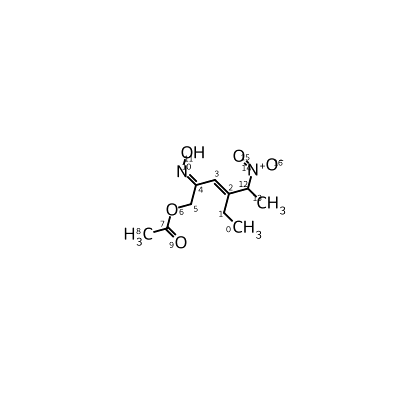 CC/C(=C\C(COC(C)=O)=N/O)C(C)[N+](=O)[O-]